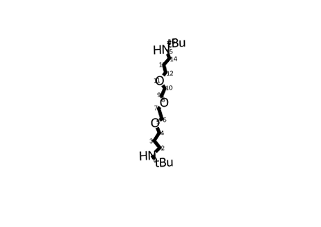 CC(C)(C)NCCCOCCOCCOCCCNC(C)(C)C